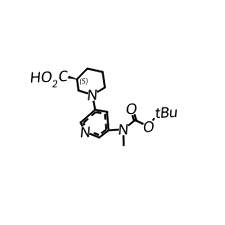 CN(C(=O)OC(C)(C)C)c1cncc(N2CCC[C@H](C(=O)O)C2)c1